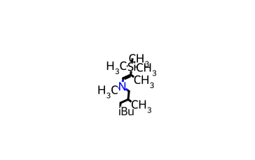 CCC(C)CC(C)CN(C)/C=C(\C)[Si](C)(C)C